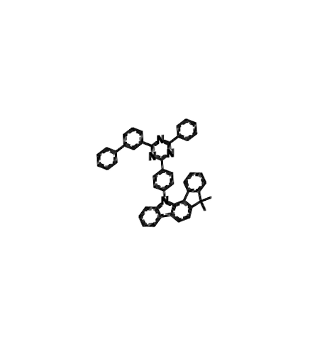 CC1(C)c2ccccc2-c2c1ccc1c3ccccc3n(-c3ccc(-c4nc(-c5ccccc5)nc(-c5cccc(-c6ccccc6)c5)n4)cc3)c21